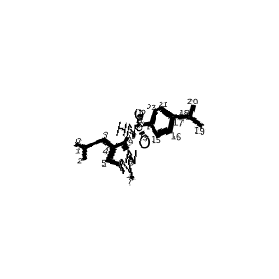 CC(C)Cc1cn(C)nc1NS(=O)(=O)c1ccc(C(C)C)cc1